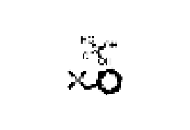 C[N+](C)(C)Cc1ccccc1.[O-][Si](O)(O)O